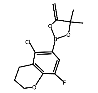 C=C1OB(c2cc(F)c3c(c2Cl)CCCO3)OC1(C)C